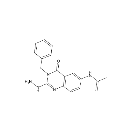 C=C(C)Nc1ccc2nc(NN)n(Cc3ccccc3)c(=O)c2c1